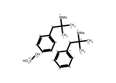 CNC(C)(C)Cc1ccccc1.CNC(C)(C)Cc1ccccc1.O=S(=O)(O)O